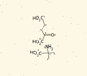 CC(C)(N)C(=O)O.O=C(O)CCC(=O)C(=O)O